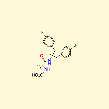 C[C@@H](NC(=O)O)C(=O)NC(C)(Cc1ccc(F)cc1)Cc1ccc(F)cc1